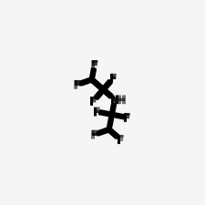 FC(F)C(F)(F)NC(F)(F)C(F)F